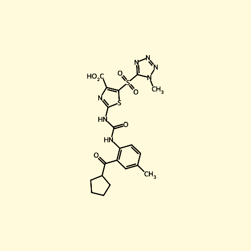 Cc1ccc(NC(=O)Nc2nc(C(=O)O)c(S(=O)(=O)c3nnnn3C)s2)c(C(=O)C2CCCC2)c1